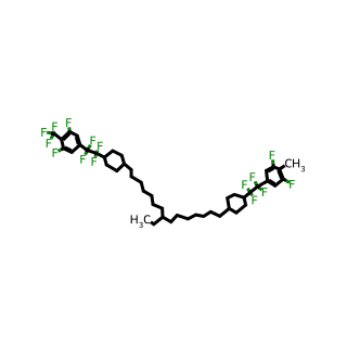 CCC(CCCCCCCC1CCC(C(F)(F)C(F)(F)c2cc(F)c(C)c(F)c2)CC1)CCCCCCCC1CCC(C(F)(F)C(F)(F)c2cc(F)c(C(F)(F)F)c(F)c2)CC1